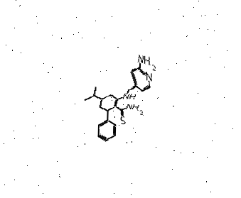 CC(C)C1CC(NCc2ccnc(N)c2)=C(C(N)=S)C(c2ccccc2)C1